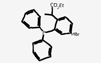 Br.CCOC(=O)C(C)c1ccccc1P(c1ccccc1)c1ccccc1